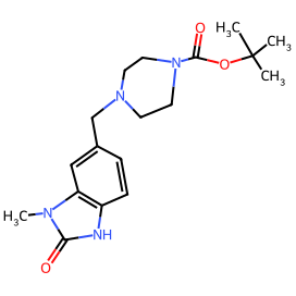 Cn1c(=O)[nH]c2ccc(CN3CCN(C(=O)OC(C)(C)C)CC3)cc21